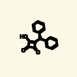 O=c1c(O)c(N(c2ccccc2)c2ccccc2)c1=O